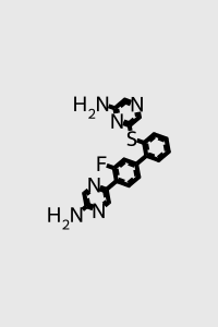 Nc1cnc(-c2ccc(-c3ccccc3Sc3cncc(N)n3)cc2F)cn1